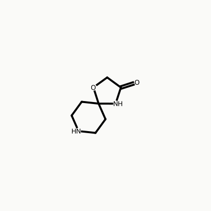 O=C1COC2(CCNCC2)N1